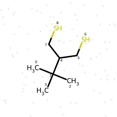 CC(C)(C)C(CS)CS